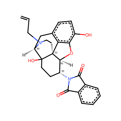 C=CCN1CC[C@]23c4c5ccc(O)c4O[C@H]2[C@H](N2C(=O)c4ccccc4C2=O)CCC3(O)[C@H]1C5